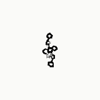 C1=CN(c2c3ccccc3c(-n3ccc(-c4ccccc4)n3)c3cccnc23)NC1c1ccccc1